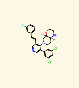 Fc1cccc(C=Cc2cncc(-c3cc(Cl)cc(Cl)c3)c2N2CC[C@@H]3NCCO[C@H]3C2)c1